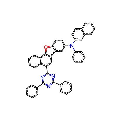 c1ccc(-c2nc(-c3ccccc3)nc(-c3cc4c5cc(N(c6ccccc6)c6ccc7ccccc7c6)ccc5oc4c4ccccc34)n2)cc1